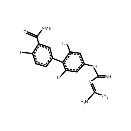 CNC(=O)c1cc(-c2c(Cl)cc(NC(=N)N=C(N)N)cc2C(F)(F)F)ccc1F